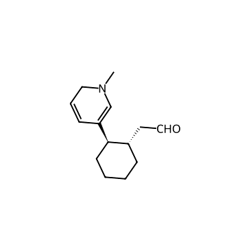 CN1C=C([C@@H]2CCCC[C@H]2CC=O)C=CC1